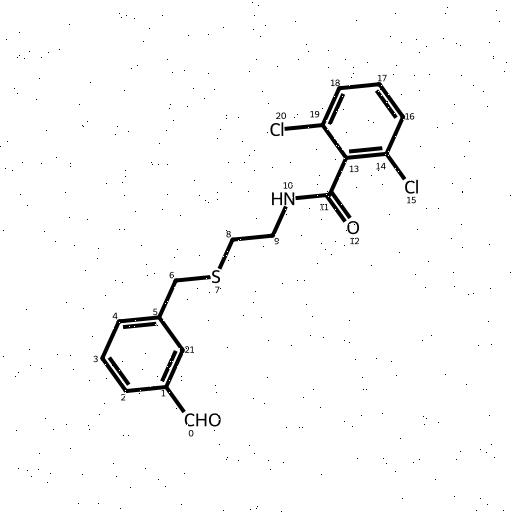 O=Cc1cccc(CSCCNC(=O)c2c(Cl)cccc2Cl)c1